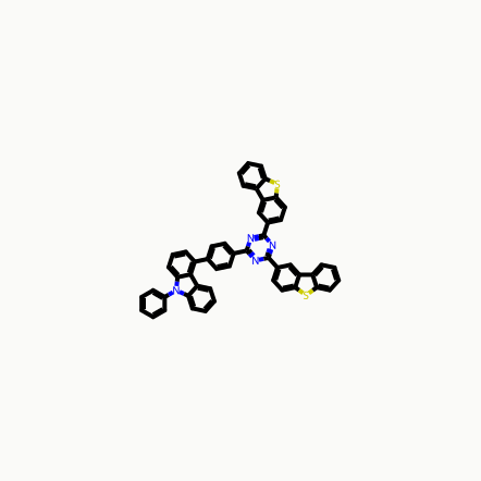 c1ccc(-n2c3ccccc3c3c(-c4ccc(-c5nc(-c6ccc7sc8ccccc8c7c6)nc(-c6ccc7sc8ccccc8c7c6)n5)cc4)cccc32)cc1